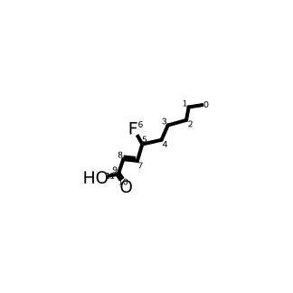 CCCCCC(F)/C=C/C(=O)O